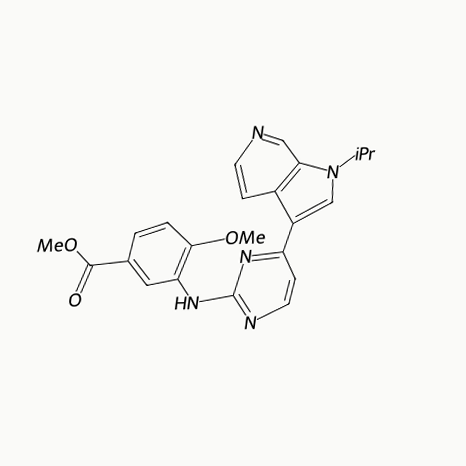 COC(=O)c1ccc(OC)c(Nc2nccc(-c3cn(C(C)C)c4cnccc34)n2)c1